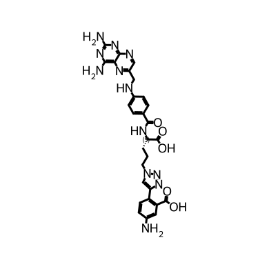 Nc1ccc(-c2cn(CCC[C@H](NC(=O)c3ccc(NCc4cnc5nc(N)nc(N)c5n4)cc3)C(=O)O)nn2)c(C(=O)O)c1